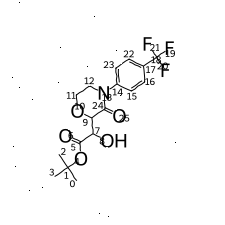 CC(C)(C)OC(=O)C(O)C1OCCN(c2ccc(C(F)(F)F)cc2)C1=O